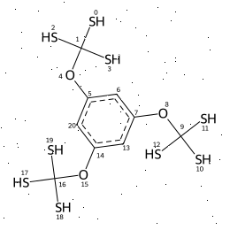 SC(S)(S)Oc1cc(OC(S)(S)S)cc(OC(S)(S)S)c1